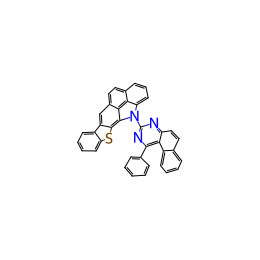 c1ccc(-c2nc(-n3c4cccc5ccc6cc7c8ccccc8sc7c3c6c54)nc3ccc4ccccc4c23)cc1